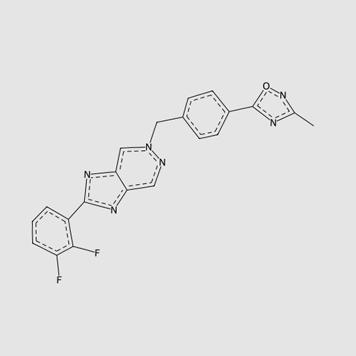 Cc1noc(-c2ccc(Cn3cc4nc(-c5cccc(F)c5F)nc-4cn3)cc2)n1